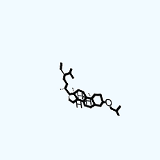 CC[C@H](CC[C@@H](C)[C@H]1CC[C@H]2[C@@H]3CCC4CC(OCC(C)C)CC[C@]4(C)[C@H]3CC[C@]12C)C(C)C